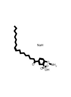 CCCCCCCC/C=C\CCCCCCCC(=O)c1ccc(OCN)c(S(=O)(=O)O)c1.[NaH]